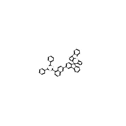 c1ccc(-c2nc(-c3ccccc3)nc(-c3cccc4cc(-c5ccc6c(c5)-c5ccccc5C65c6ccccc6-n6c7ccccc7c7cccc5c76)ccc34)n2)cc1